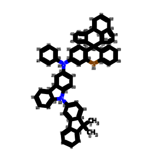 CC1(C)c2ccccc2-c2cc(-n3c4ccccc4c4cc(N(c5ccccc5)c5ccc6c(c5)Sc5ccccc5C65c6ccccc6-c6cccc7cccc5c67)ccc43)ccc21